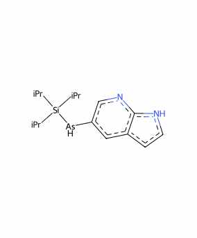 CC(C)[Si]([AsH]c1cnc2[nH]ccc2c1)(C(C)C)C(C)C